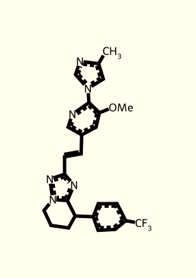 COc1cc(/C=C/c2nc3n(n2)CCCC3c2ccc(C(F)(F)F)cc2)cnc1-n1cnc(C)c1